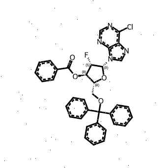 O=C(O[C@H]1[C@H](F)[C@H](n2cnc3c(Cl)ncnc32)O[C@@H]1COC(c1ccccc1)(c1ccccc1)c1ccccc1)c1ccccc1